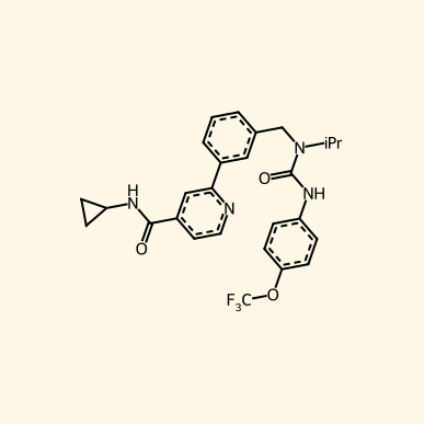 CC(C)N(Cc1cccc(-c2cc(C(=O)NC3CC3)ccn2)c1)C(=O)Nc1ccc(OC(F)(F)F)cc1